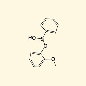 COc1ccccc1O[Si](O)c1ccccc1